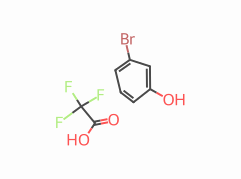 O=C(O)C(F)(F)F.Oc1cccc(Br)c1